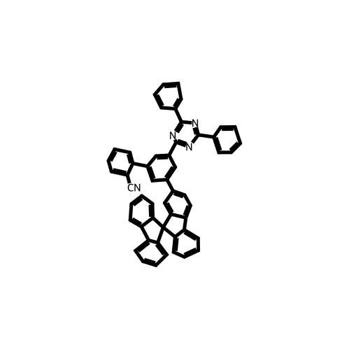 N#Cc1ccccc1-c1cc(-c2ccc3c(c2)C2(c4ccccc4-c4ccccc42)c2ccccc2-3)cc(-c2nc(-c3ccccc3)nc(-c3ccccc3)n2)c1